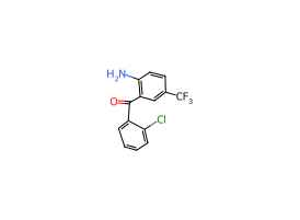 Nc1ccc(C(F)(F)F)cc1C(=O)c1ccccc1Cl